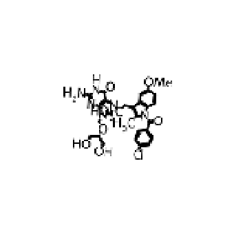 COc1ccc2c(c1)c(CC(=O)O)c(C)n2C(=O)c1ccc(Cl)cc1.Nc1nc2c(ncn2COC(CO)CO)c(=O)[nH]1